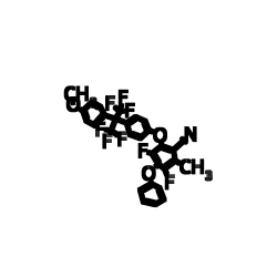 COc1ccc(C(c2ccc(Oc3c(F)c(Oc4ccccc4)c(F)c(C)c3C#N)cc2)(C(F)(F)F)C(F)(F)F)cc1